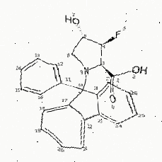 O=C(O)[C@@H]1[C@H](F)[C@@H](O)CN1C1(c2ccccc2)c2ccccc2-c2ccccc21